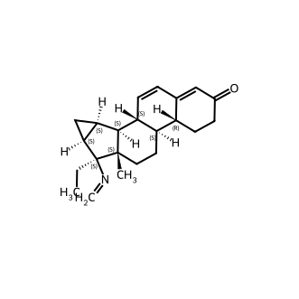 C=N[C@@]1(CC)[C@H]2C[C@H]2[C@H]2[C@@H]3C=CC4=CC(=O)CC[C@@H]4[C@H]3CC[C@@]21C